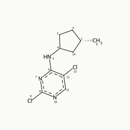 C[C@H]1CCC(Nc2nc(Cl)ncc2Cl)C1